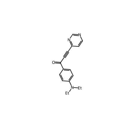 CCN(CC)c1ccc(C(=O)C#Cc2ccncn2)cc1